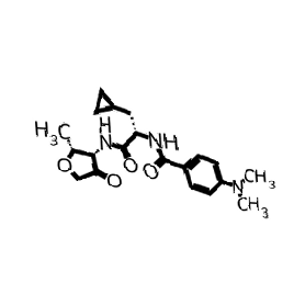 C[C@H]1OCC(=O)[C@H]1NC(=O)[C@H](CC1CC1)NC(=O)c1ccc(N(C)C)cc1